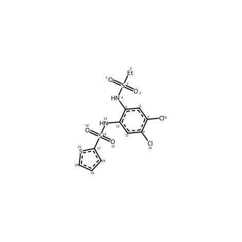 CCS(=O)(=O)Nc1cc(Cl)c(Cl)cc1NS(=O)(=O)c1cccs1